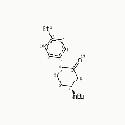 CCCC[C@H]1CC[C@H](c2ccc(CC)cc2)C(=O)C1